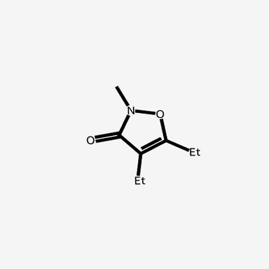 CCc1on(C)c(=O)c1CC